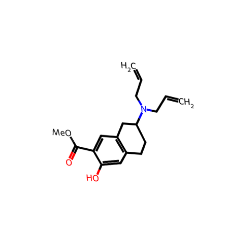 C=CCN(CC=C)C1CCc2cc(O)c(C(=O)OC)cc2C1